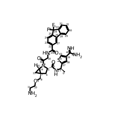 C[C@@H](NC(=O)[C@@H]1C[C@]2(COCCN)C[C@@H]2N1C(=O)CNC(=O)c1ccc2c(c1)-c1ccccc1C2(F)F)c1cc(C(=N)N)cs1